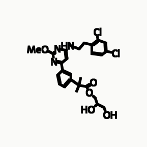 COc1nc(NCCc2ccc(Cl)cc2Cl)cc(-c2cccc(C(C)(C)C(=O)OCC(O)CO)c2)n1